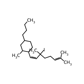 CCCCC1CCC(/C=C\C(C)(I)CCC=C(C)C)C(C)C1